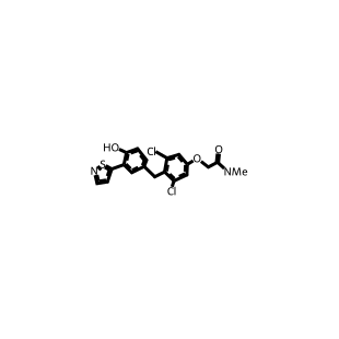 CNC(=O)COc1cc(Cl)c(Cc2ccc(O)c(-c3ccns3)c2)c(Cl)c1